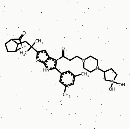 Cc1cc(C)cc(-c2[nH]c3sc(C(C)(C)CC4C5CCC4C(=O)N5)cc3c2C(=O)CCN2CCN(C3CCS(O)(O)C3)CC2)c1